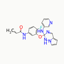 C=CC(=O)Nc1ccc(F)c(OC2(Nc3cccnc3)N=Cc3cccn3N2)c1